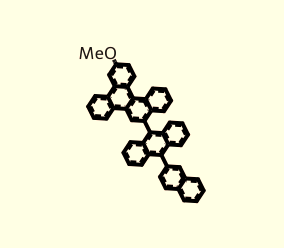 COc1ccc2c(c1)c1ccccc1c1cc(-c3c4ccccc4c(-c4ccc5ccccc5c4)c4ccccc34)c3ccccc3c21